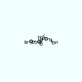 Cc1cc(CN2CC(O)C2)ccc1C(=O)Cn1ncc(OCc2ccc(Br)cn2)cc1=O